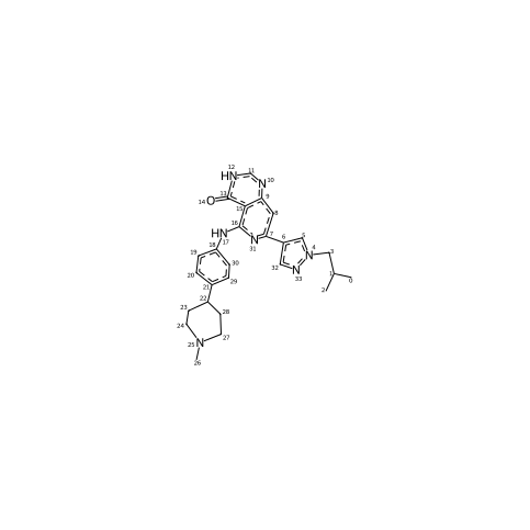 CC(C)Cn1cc(-c2cc3nc[nH]c(=O)c3c(Nc3ccc(C4CCN(C)CC4)cc3)n2)cn1